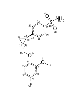 COc1cc(F)ccc1OC[C@@H]1C[C@H]1c1ccc(S(N)(=O)=O)cc1